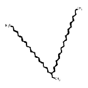 [CH2]CC(CCCCCCCCCCCCCCCCCCC)CCCCCCCCCCCCCCCCCCCCC